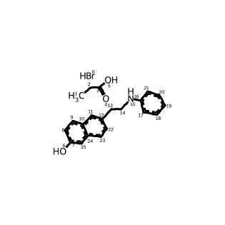 Br.CCC(=O)O.Oc1ccc2cc(CCNc3ccccc3)ccc2c1